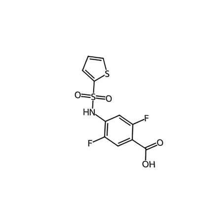 O=C(O)c1cc(F)c(NS(=O)(=O)c2cccs2)cc1F